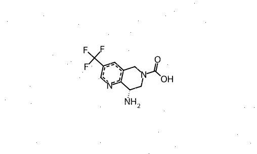 N[C@H]1CN(C(=O)O)Cc2cc(C(F)(F)F)cnc21